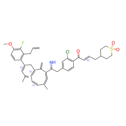 C=CCc1c(/C(=C/C(=C)C)C/C2=C/C=C\C(C)=C=C(C(=N)Cc3ccc(C(=O)/C=C/CC4CCS(=O)(=O)CC4)c(Cl)c3)C2=C)ccc(OC)c1F